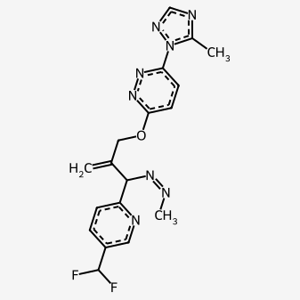 C=C(COc1ccc(-n2ncnc2C)nn1)C(/N=N\C)c1ccc(C(F)F)cn1